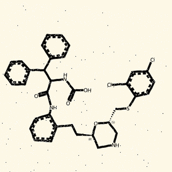 O=C(O)NC(C(=O)Nc1ccccc1CC[C@@H]1CNC[C@@H](CSc2ccc(Cl)cc2Cl)O1)C(c1ccccc1)c1ccccc1